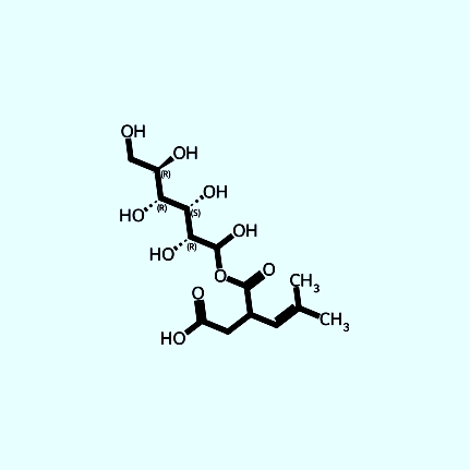 CC(C)=CC(CC(=O)O)C(=O)OC(O)[C@H](O)[C@@H](O)[C@H](O)[C@H](O)CO